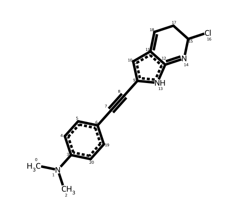 CN(C)c1ccc(C#Cc2cc3c([nH]2)=NC(Cl)CC=3)cc1